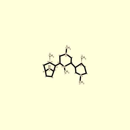 C[C@@H]1CCN(C)CC1C1CN(C)CC(C2C3CCC(C[C@@H]2C)N3)N1C